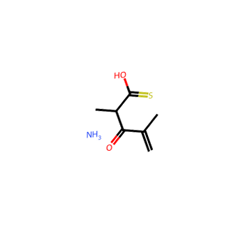 C=C(C)C(=O)C(C)C(O)=S.N